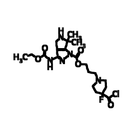 CCOC(=O)Nc1nn(C(=O)OCCCN2CCC(F)(C(=O)Cl)CC2)c2c1CNC2(C)C